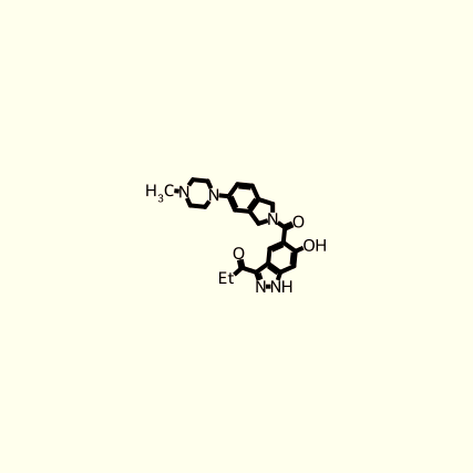 CCC(=O)c1n[nH]c2cc(O)c(C(=O)N3Cc4ccc(N5CCN(C)CC5)cc4C3)cc12